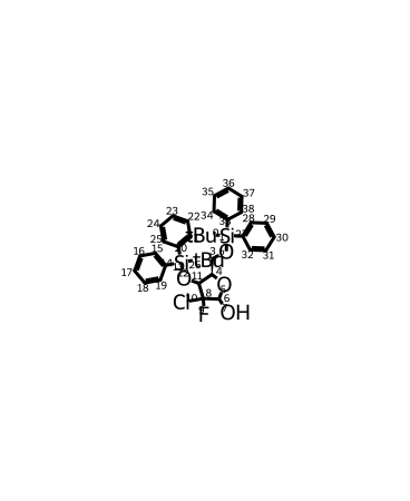 CC(C)(C)[Si](OC[C@H]1OC(O)C(F)(Cl)C1O[Si](c1ccccc1)(c1ccccc1)C(C)(C)C)(c1ccccc1)c1ccccc1